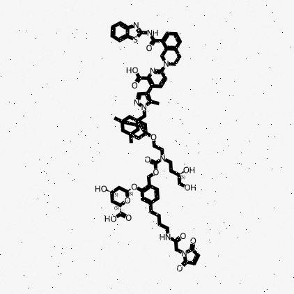 Cc1c(-c2ccc(N3CCc4cccc(C(=O)Nc5nc6ccccc6s5)c4C3)nc2C(=O)O)cnn1CC12CC3(C)CC(C)(C1)CC(OCCN(CC[C@H](O)CO)C(=O)OCc1ccc(CCCCNC(=O)CN4C(=O)C=CC4=O)cc1O[C@H]1C[C@@H](O)C[C@@H](C(=O)O)O1)(C3)C2